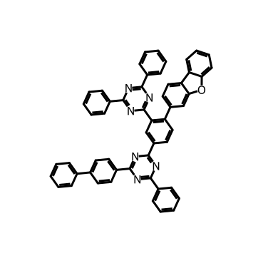 c1ccc(-c2ccc(-c3nc(-c4ccccc4)nc(-c4ccc(-c5ccc6c(c5)oc5ccccc56)c(-c5nc(-c6ccccc6)nc(-c6ccccc6)n5)c4)n3)cc2)cc1